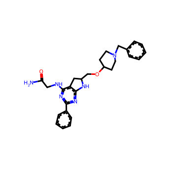 NC(=O)CNc1nc(-c2ccccc2)nc2c1CC(COC1CCN(Cc3ccccc3)CC1)N2